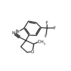 CC1OCCC1(C#N)c1cc(C(F)(F)F)ccc1Br